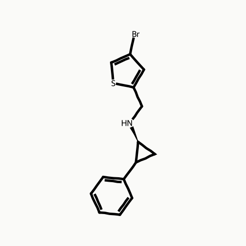 Brc1csc(CN[C@H]2CC2c2ccccc2)c1